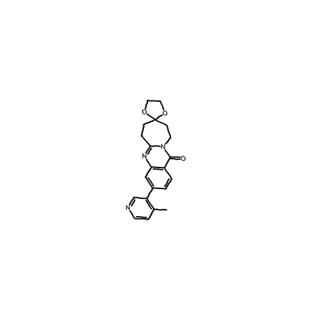 Cc1ccncc1-c1ccc2c(=O)n3c(nc2c1)CCC1(CC3)OCCO1